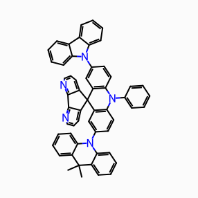 CC1(C)c2ccccc2N(c2ccc3c(c2)C2(c4cc(-n5c6ccccc6c6ccccc65)ccc4N3c3ccccc3)c3cccnc3-c3ncccc32)c2ccccc21